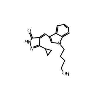 O=C1NN=C(C2CC2)/C1=C\c1cn(CCCCO)c2ccccc12